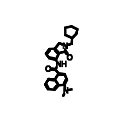 CN(C)c1ccc(C(=O)Nc2cccc3c2C(=O)N(CC2CCCCC2)C3)c2ccccc12